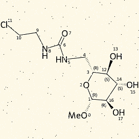 CO[C@@H]1O[C@H](CNC(=O)NCCCl)[C@@H](O)[C@H](O)[C@H]1O